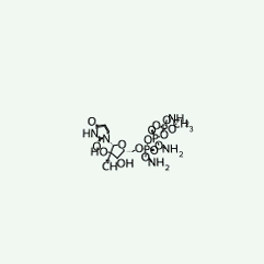 C#C[C@@]1(O)[C@H](O)[C@@H](COP(=O)(ON)OP(=O)(ON)OP(=O)(OC)ON)O[C@H]1n1ccc(=O)[nH]c1=O